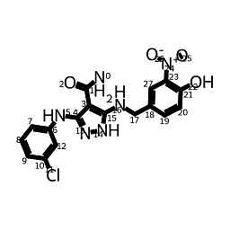 NC(=O)c1c(Nc2cccc(Cl)c2)n[nH]c1NCc1ccc(O)c([N+](=O)[O-])c1